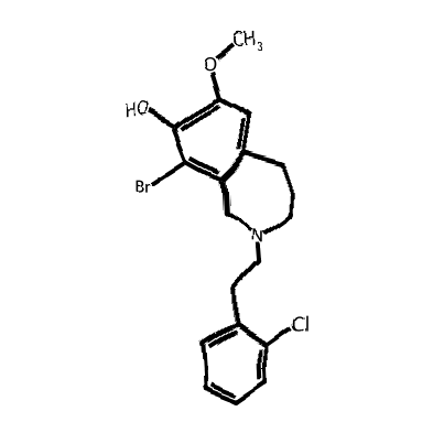 COc1cc2c(c(Br)c1O)CN(CCc1ccccc1Cl)CC2